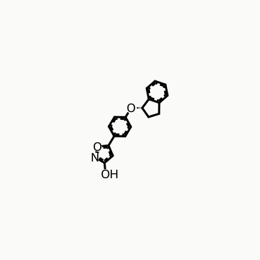 Oc1cc(-c2ccc(O[C@H]3CCc4ccccc43)cc2)on1